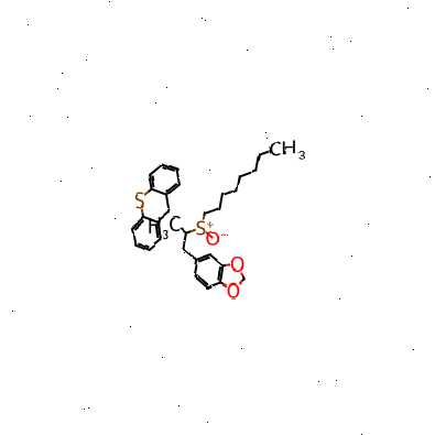 CCCCCCCC[S+]([O-])C(C)Cc1ccc2c(c1)OCO2.c1ccc2c(c1)Cc1ccccc1S2